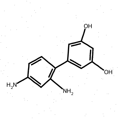 Nc1ccc(-c2cc(O)cc(O)c2)c(N)c1